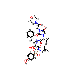 COc1ccc(S(=O)(=O)N(CC(C)C)C[C@H](O)[C@H](Cc2ccccc2)NC(=O)[C@H](C(C)C)N2CC(=O)N(CC(=O)N3CCOCC3)C2=O)cc1